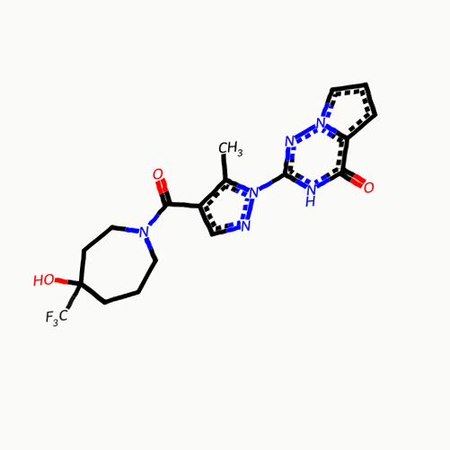 Cc1c(C(=O)N2CCCC(O)(C(F)(F)F)CC2)cnn1-c1nn2cccc2c(=O)[nH]1